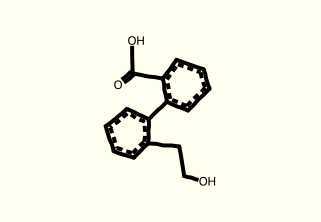 O=C(O)c1ccccc1-c1ccccc1CCO